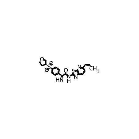 C/C=C\c1ccc2nc(NC(=O)C(=N)c3ccc(S(=O)(=O)[C@H]4CCOC4)cc3)sc2n1